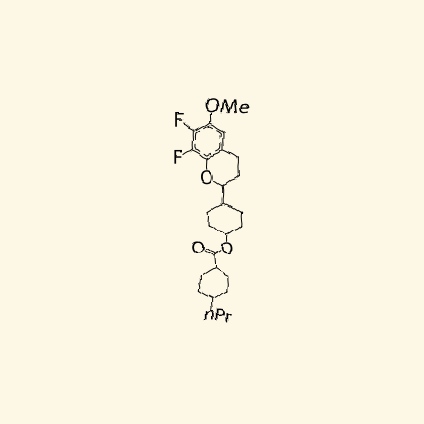 CCCC1CCC(C(=O)OC2CCC(C3CCc4cc(OC)c(F)c(F)c4O3)CC2)CC1